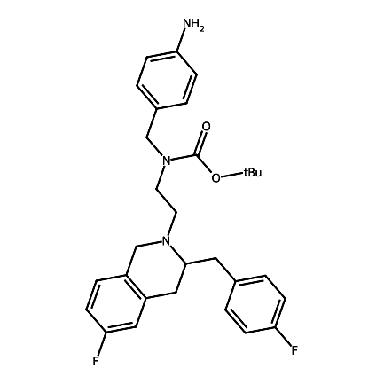 CC(C)(C)OC(=O)N(CCN1Cc2ccc(F)cc2CC1Cc1ccc(F)cc1)Cc1ccc(N)cc1